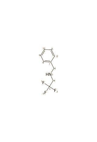 FC(F)(F)CNCc1ccccc1